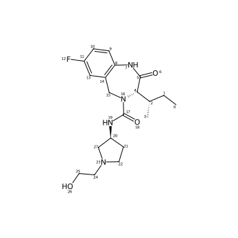 CC[C@H](C)[C@H]1C(=O)Nc2ccc(F)cc2CN1C(=O)N[C@H]1CCN(CCO)C1